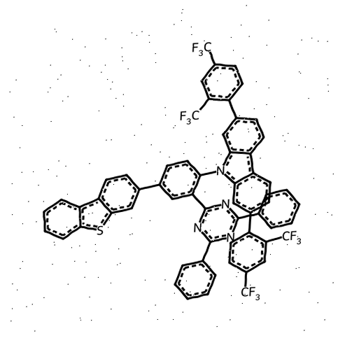 FC(F)(F)c1ccc(-c2ccc3c4ccc(-c5ccc(C(F)(F)F)cc5C(F)(F)F)cc4n(-c4ccc(-c5ccc6c(c5)sc5ccccc56)cc4-c4nc(-c5ccccc5)nc(-c5ccccc5)n4)c3c2)c(C(F)(F)F)c1